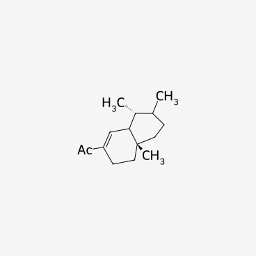 CC(=O)C1=CC2[C@H](C)C(C)CC[C@]2(C)CC1